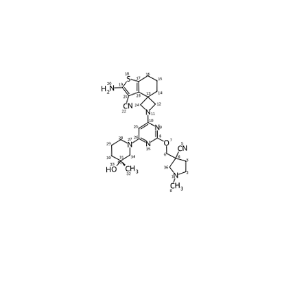 CN1CCC(C#N)(COc2nc(N3CC4(CCCc5sc(N)c(C#N)c54)C3)cc(N3CCC[C@@](C)(O)C3)n2)C1